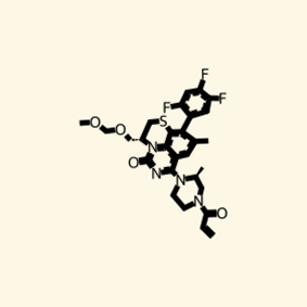 C=CC(=O)N1CCN(c2nc(=O)n3c4c(c(-c5cc(F)c(F)cc5F)c(C)cc24)SC[C@H]3COCOC)[C@@H](C)C1